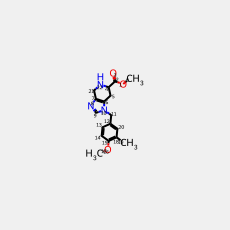 COC(=O)C1Cc2c(ncn2Cc2ccc(OC)c(C)c2)CN1